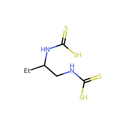 [CH2]CC(CNC(=S)S)NC(=S)S